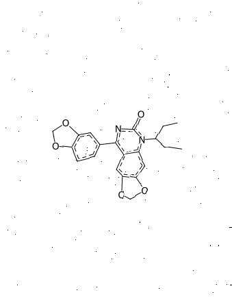 CCC(CC)n1c(=O)nc(-c2ccc3c(c2)OCO3)c2cc3c(cc21)OCO3